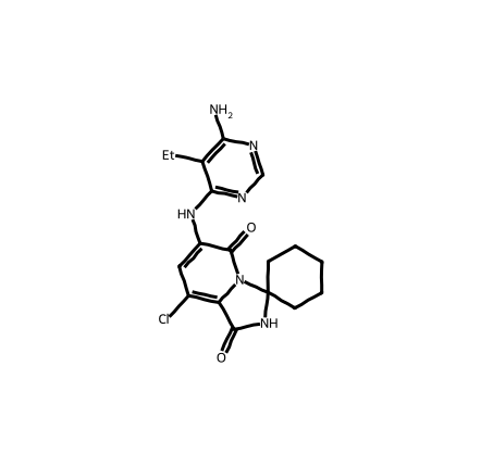 CCc1c(N)ncnc1Nc1cc(Cl)c2n(c1=O)C1(CCCCC1)NC2=O